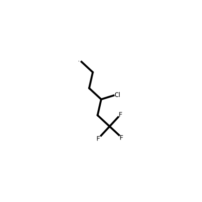 [CH2]CCC(Cl)CC(F)(F)F